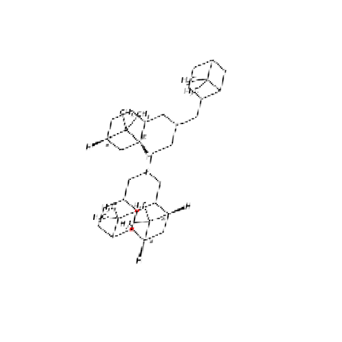 CC1(C)C2CCC(CP(CCP(CC3CCC4CC3C4(C)C)CC3CC[C@H]4C[C@@H]3C4(C)C)CC3CC[C@H]4C[C@@H]3C4(C)C)C1C2